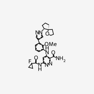 COc1c(Nc2cc(NC(=O)C3(F)CC3)nnc2C(N)=O)cccc1-c1cnn([C@H]2CCC[C@@]23CCCO3)c1